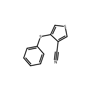 N#Cc1cscc1Sc1ccccc1